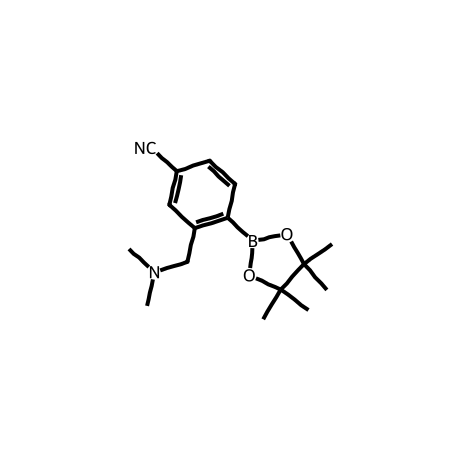 CN(C)Cc1cc(C#N)ccc1B1OC(C)(C)C(C)(C)O1